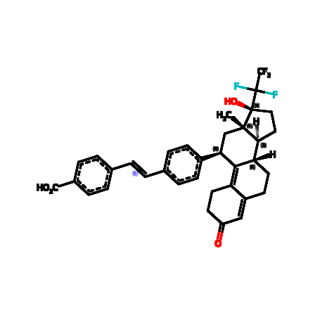 C[C@]12C[C@H](c3ccc(/C=C/c4ccc(C(=O)O)cc4)cc3)C3=C4CCC(=O)C=C4CC[C@H]3[C@@H]1CC[C@@]2(O)C(F)(F)C(F)(F)F